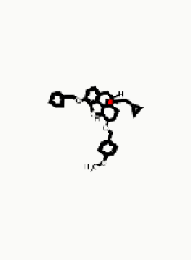 COc1ccc(CO[C@@H]2CCC3(O)[C@H]4Cc5ccc(OCc6ccccc6)c6c5[C@@]3(CCN4CC3CC3)[C@H]2O6)cc1